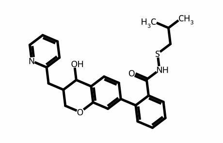 CC(C)CSNC(=O)c1ccccc1-c1ccc2c(c1)OCC(Cc1ccccn1)C2O